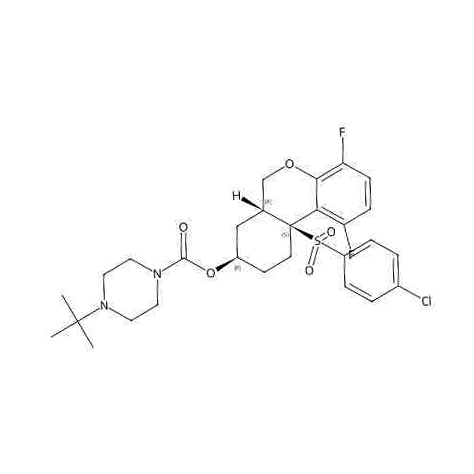 CC(C)(C)N1CCN(C(=O)O[C@@H]2CC[C@@]3(S(=O)(=O)c4ccc(Cl)cc4)c4c(F)ccc(F)c4OC[C@H]3C2)CC1